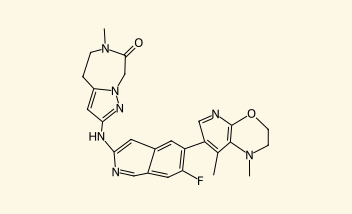 Cc1c(-c2cc3cc(Nc4cc5n(n4)CC(=O)N(C)CC5)ncc3cc2F)cnc2c1N(C)CCO2